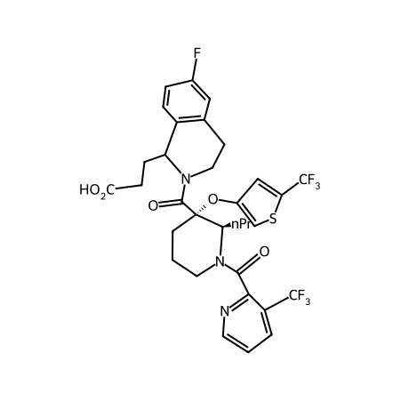 CCC[C@H]1N(C(=O)c2ncccc2C(F)(F)F)CCC[C@@]1(Oc1csc(C(F)(F)F)c1)C(=O)N1CCc2cc(F)ccc2C1CCC(=O)O